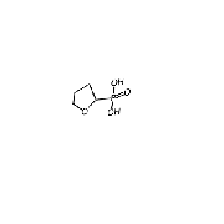 O=P(O)(O)[C]1CCCO1